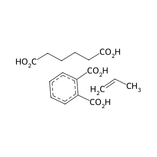 C=CC.O=C(O)CCCCC(=O)O.O=C(O)c1ccccc1C(=O)O